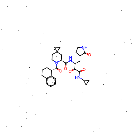 O=C(NC1CC1)C(=O)[C@H](C[C@@H]1CCNC1=O)NC(=O)[C@@H]1CC2(CCN1C(=O)[C@H]1CCCc3ccccc31)CC2